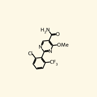 COc1nc(-c2c(Cl)cccc2C(F)(F)F)ncc1C(N)=O